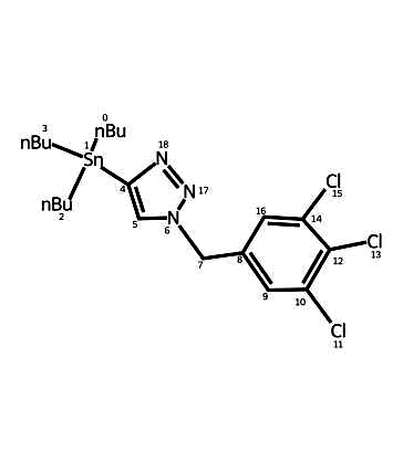 CCC[CH2][Sn]([CH2]CCC)([CH2]CCC)[c]1cn(Cc2cc(Cl)c(Cl)c(Cl)c2)nn1